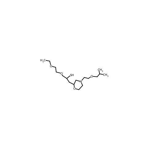 CCOCCOCC(S)CC1CN(CCOCC(C)C)CCO1